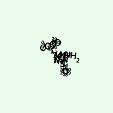 CC(=O)OCC(CCn1cnc2c(SCc3ccccc3)nc(N)nc21)COC(C)=O